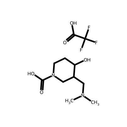 CN(C)CC1CN(C(=O)O)CCC1O.O=C(O)C(F)(F)F